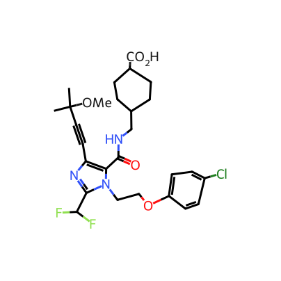 COC(C)(C)C#Cc1nc(C(F)F)n(CCOc2ccc(Cl)cc2)c1C(=O)NCC1CCC(C(=O)O)CC1